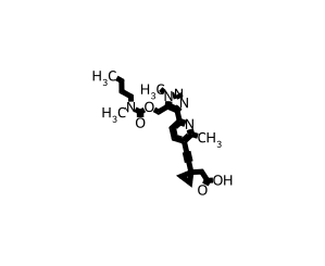 CCCCN(C)C(=O)OCc1c(-c2ccc(C#CC3(CC(=O)O)CC3)c(C)n2)nnn1C